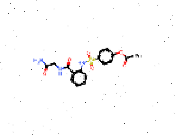 CC(C)(C)C(=O)Oc1ccc(S(=O)(=O)Nc2ccccc2C(=O)NCC(N)=O)cc1